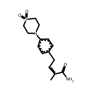 CC(=CCc1ccc(N2CCS(=O)(=O)CC2)cc1)C(N)=O